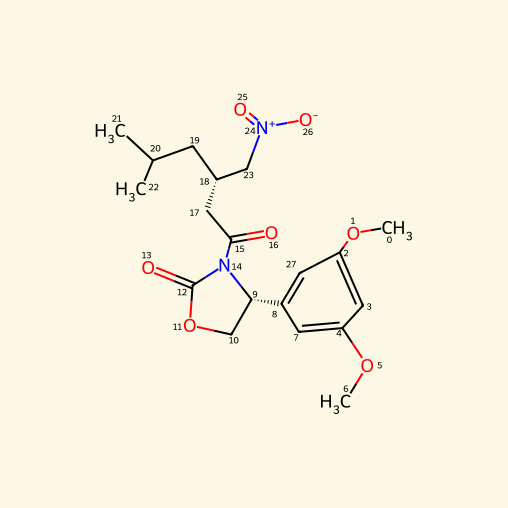 COc1cc(OC)cc([C@@H]2COC(=O)N2C(=O)C[C@H](CC(C)C)C[N+](=O)[O-])c1